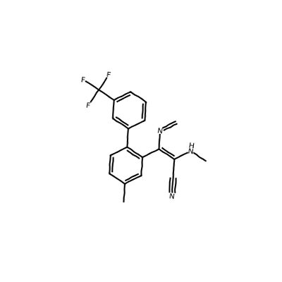 C=N/C(=C(/C#N)NC)c1cc(C)ccc1-c1cccc(C(F)(F)F)c1